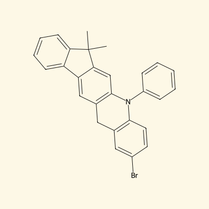 CC1(C)c2ccccc2-c2cc3c(cc21)N(c1ccccc1)c1ccc(Br)cc1C3